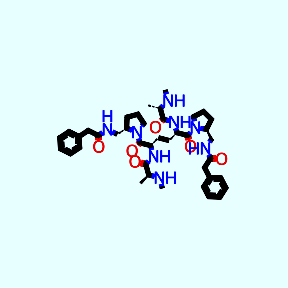 CN[C@@H](C)C(=O)N[C@@H](CC[C@H](NC(=O)[C@H](C)NC)C(=O)N1CCC[C@H]1CNC(=O)Cc1ccccc1)C(=O)N1CCC[C@H]1CNC(=O)Cc1ccccc1